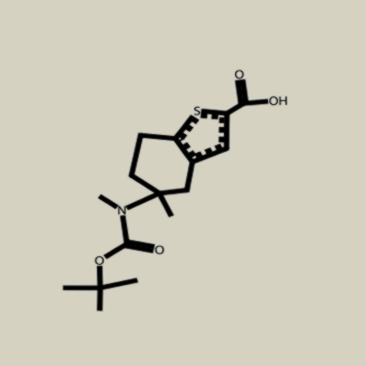 CN(C(=O)OC(C)(C)C)C1(C)CCc2sc(C(=O)O)cc2C1